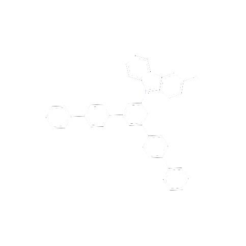 Brc1ccc2c(c1)c1ccccc1n2-c1cc(-c2ccc(-c3ccccc3)cc2)cc(-c2ccc(-c3ccccc3)cc2)c1